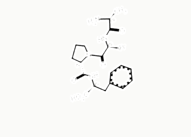 CC(C)[C@H](NC(=O)[C@H](C)N)C(=O)N1CCC[C@H]1C(=O)N[C@@H](Cc1ccccc1)C(=O)O